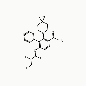 NC(=O)c1ccc(OC(F)C(F)CF)c(-c2ccncc2)c1N1CCC2(CC1)CC2